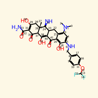 CN(C)c1cc(NCc2ccc(OC(F)F)cc2)c(O)c2c1CC1C(=N)[C@@]3(C)CC(O)=C(C(N)=O)C(=O)C3C(O)=C1C2=O